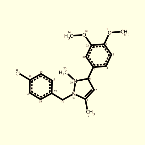 COc1ccc(C2C=C(C)N(Cc3ccc(Cl)cc3)N2C)cc1OC